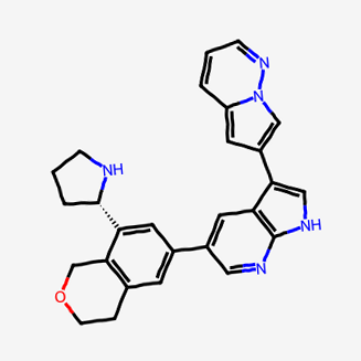 c1cnn2cc(-c3c[nH]c4ncc(-c5cc6c(c([C@@H]7CCCN7)c5)COCC6)cc34)cc2c1